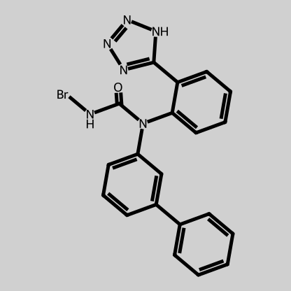 O=C(NBr)N(c1cccc(-c2ccccc2)c1)c1ccccc1-c1nnn[nH]1